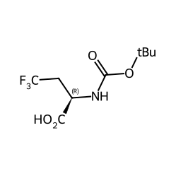 CC(C)(C)OC(=O)N[C@H](CC(F)(F)F)C(=O)O